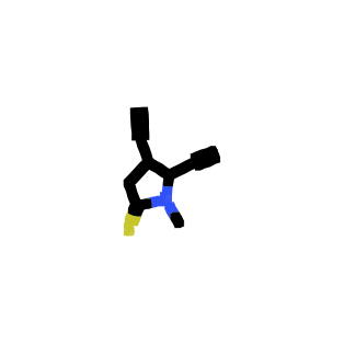 C#CC1CC(=S)N(C)C1C#C